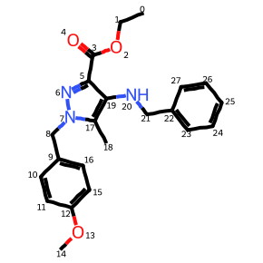 CCOC(=O)c1nn(Cc2ccc(OC)cc2)c(C)c1NCc1ccccc1